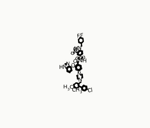 CC1(C)CCC(CN2CCN(c3ccc(C(=O)NS(=O)(=O)c4ccc(NCC5CCC(F)(F)CC5)c([N+](=O)[O-])c4)c(Oc4cccc5[nH]cnc45)c3)CC2)=C(c2ccc(Cl)cc2)C1